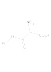 CCOC(=O)C(C(=O)O)[N+](=O)[O-]